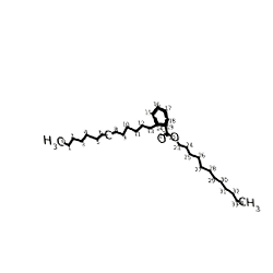 CCCCCCCCCCCCCCc1ccccc1C(=O)OCCCCCCCCCCCC